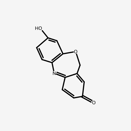 O=C1C=CC2=Nc3ccc(O)cc3OCC2=C1